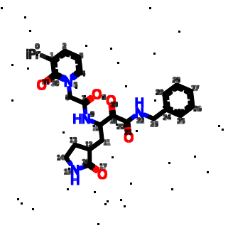 CC(C)c1cccn(CC(=O)NC(CC2CCNC2=O)C(=O)C(=O)NCc2ccccc2)c1=O